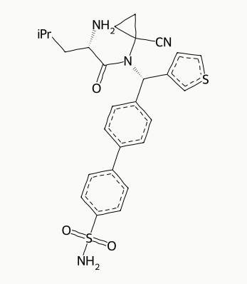 CC(C)C[C@H](N)C(=O)N([C@@H](c1ccc(-c2ccc(S(N)(=O)=O)cc2)cc1)c1ccsc1)C1(C#N)CC1